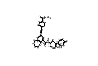 CNC(=O)c1ccc(C#Cc2cc3c(c(C(=O)N[C@@H](CO)Cc4c[nH]c5cc(F)ccc45)c2)OCCCC3)cc1